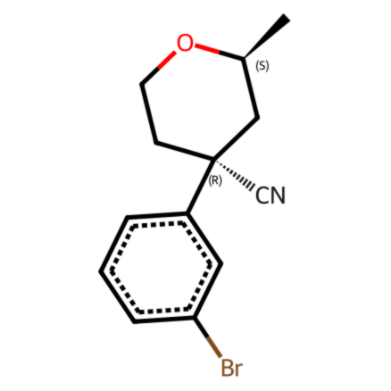 C[C@H]1C[C@@](C#N)(c2cccc(Br)c2)CCO1